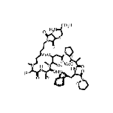 CCC(C)C(C(CC(=O)N1CCC[C@H]1C(OC)C(C)C(=O)NC(Cc1c[nH]c2ccccc12)C(=O)N1CCCCO1)OC)N(C)C(=O)C(NC(=O)C(C(C)C)N(C)CCCCCCN1C(=O)CC(SCC(N)C(=O)O)C1=O)C(C)C